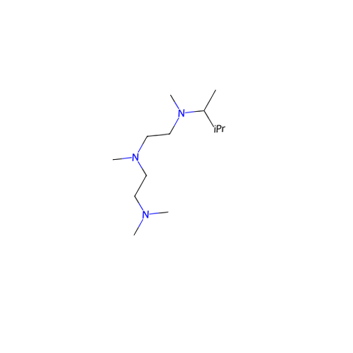 CC(C)C(C)N(C)CCN(C)CCN(C)C